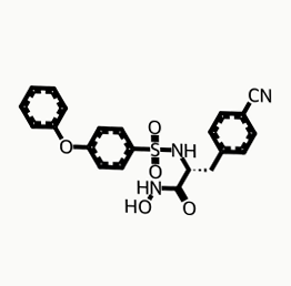 N#Cc1ccc(C[C@@H](NS(=O)(=O)c2ccc(Oc3ccccc3)cc2)C(=O)NO)cc1